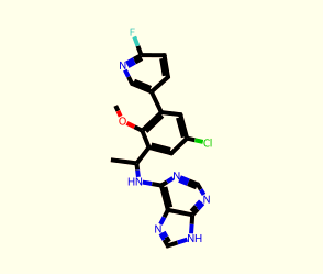 COc1c(-c2ccc(F)nc2)cc(Cl)cc1C(C)Nc1ncnc2[nH]cnc12